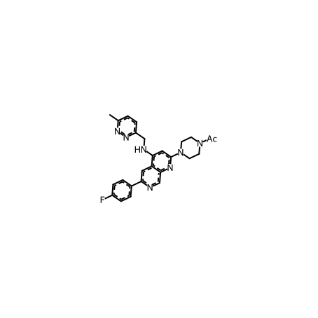 CC(=O)N1CCN(c2cc(NCc3ccc(C)nn3)c3cc(-c4ccc(F)cc4)ncc3n2)CC1